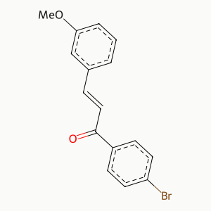 COc1cccc(/C=C/C(=O)c2ccc(Br)cc2)c1